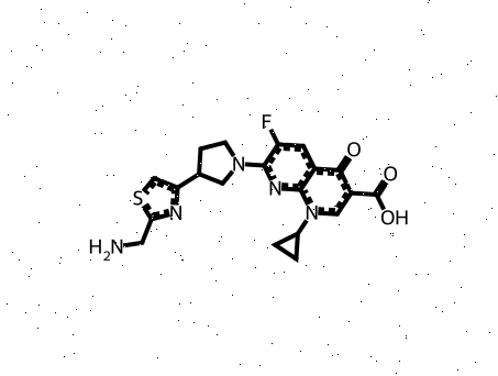 NCc1nc(C2CCN(c3nc4c(cc3F)c(=O)c(C(=O)O)cn4C3CC3)C2)cs1